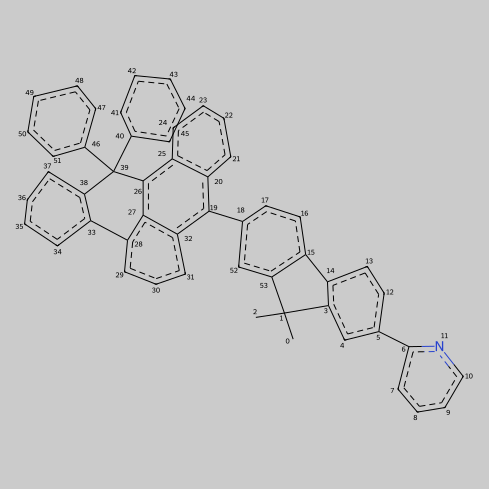 CC1(C)c2cc(-c3ccccn3)ccc2-c2ccc(-c3c4ccccc4c4c5c(cccc35)-c3ccccc3C4(c3ccccc3)c3ccccc3)cc21